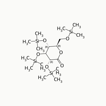 C[Si](C)(C)OC[C@H]1OC(=O)[C@H](O[Si](C)(C)C)C(O[Si](C)(C)C)[C@@H]1O[Si](C)(C)C